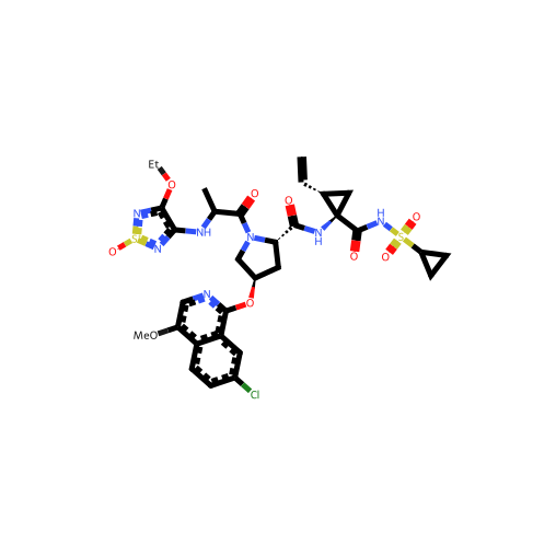 C=C[C@@H]1C[C@]1(NC(=O)[C@@H]1C[C@@H](Oc2ncc(OC)c3ccc(Cl)cc23)CN1C(=O)C(C)Nc1n[s+]([O-])nc1OCC)C(=O)NS(=O)(=O)C1CC1